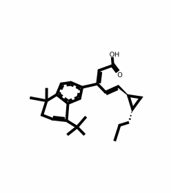 CCC[C@H]1C[C@@H]1/C=C/C(=C\C(=O)O)c1ccc2c(c1)C(C(C)(C)C)=CCC2(C)C